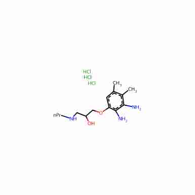 CCCNCC(O)COc1cc(C)c(C)c(N)c1N.Cl.Cl.Cl